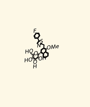 COc1c(Cc2ncc(-c3ccc(F)cc3)s2)cc([C@@H]2O[C@H](CO)[C@@H](O)[C@H](O)[C@H]2O)c2ccccc12